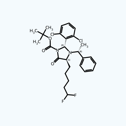 C[C@H](c1ccccc1)N1[C@@H](CCCCC(F)F)C(=O)N(C(=O)OC(C)(C)C)[C@@H]1c1c(Cl)cccc1Cl